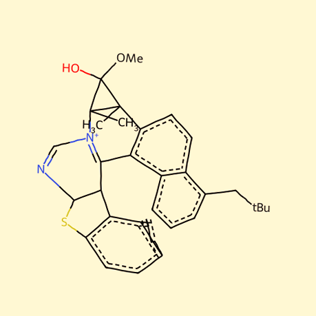 COC1(O)C2(C)c3ccc4c(CC(C)(C)C)cccc4c3C3=[N+](C=NC4Sc5ccc6ccccc6c5C34)C12C